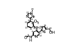 COc1c(Nc2cc(NC=O)ncc2-c2ncc(CO)s2)cccc1-c1ncn(C)n1